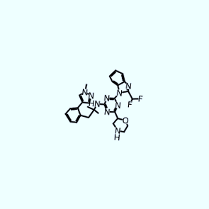 Cn1cc(-c2ccccc2CC(C)(C)Nc2nc(C3CNCCO3)nc(-n3c(C(F)F)nc4ccccc43)n2)cn1